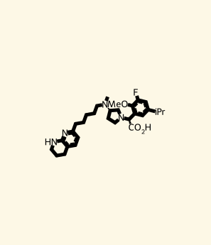 COc1c(F)cc(C(C)C)cc1[C@@H](C(=O)O)N1CC[C@H](N(C)CCCCCc2ccc3c(n2)NCCC3)C1